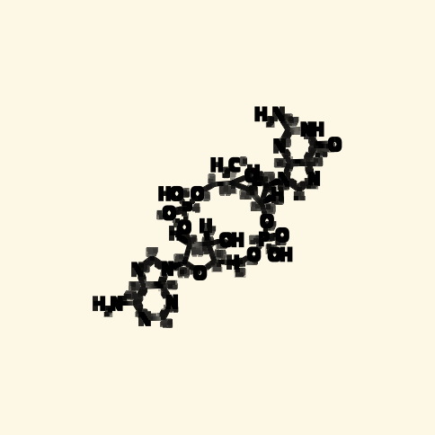 C[C@]12COP(=O)(O)O[C@@H]3[C@H](O)[C@@H](COP(=O)(O)O[C@@H]([C@H](n4cnc5c(=O)[nH]c(N)nc54)O1)[C@@H]2F)O[C@H]3n1cnc2c(N)ncnc21